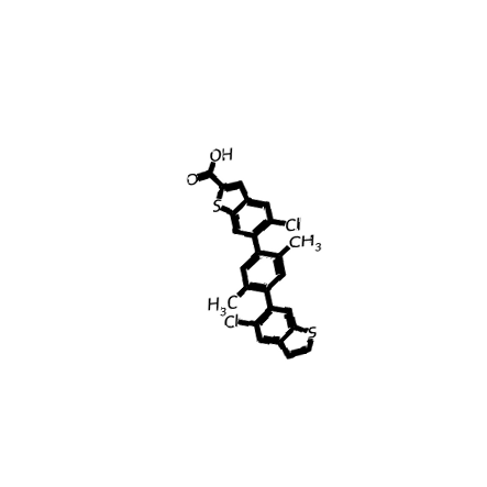 Cc1cc(-c2cc3sc(C(=O)O)cc3cc2Cl)c(C)cc1-c1cc2sccc2cc1Cl